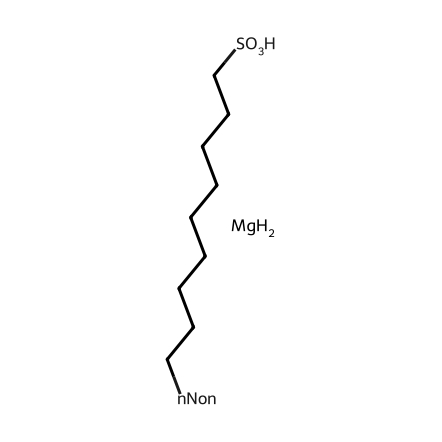 CCCCCCCCCCCCCCCCCCS(=O)(=O)O.[MgH2]